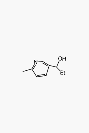 CCC(O)c1ccc(C)nc1